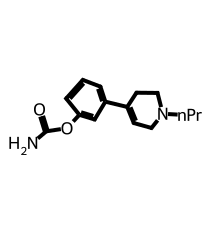 CCCN1CC=C(c2cccc(OC(N)=O)c2)CC1